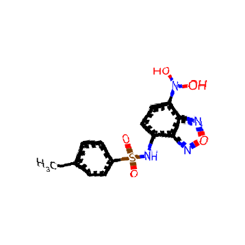 Cc1ccc(S(=O)(=O)Nc2ccc(N(O)O)c3nonc23)cc1